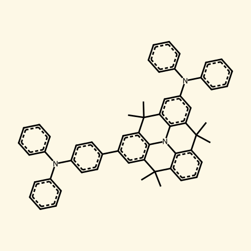 CC1(C)c2cccc3c2N2c4c1cc(-c1ccc(N(c5ccccc5)c5ccccc5)cc1)cc4C(C)(C)c1cc(N(c4ccccc4)c4ccccc4)cc(c12)C3(C)C